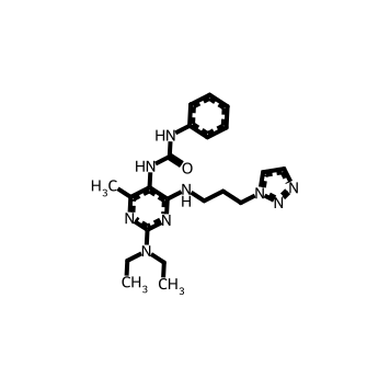 CCN(CC)c1nc(C)c(NC(=O)Nc2ccccc2)c(NCCCn2ccnn2)n1